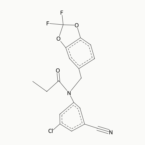 CCC(=O)N(Cc1ccc2c(c1)OC(F)(F)O2)c1cc(Cl)cc(C#N)c1